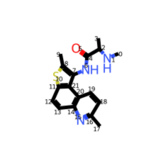 CNC(C)C(=O)Nc1c(C)sc2ccc3nc(C)ccc3c12